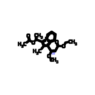 C=C(OC(C)=O)c1c(C)c(/C(=C\C(=O)OCC)OC)c2ccccn12